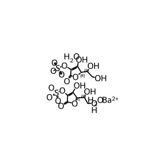 O.O.O=C1O[C@H]([C@@H](O)CO)C(O)=C1OS(=O)(=O)[O-].O=C1O[C@H]([C@@H](O)CO)C(O)=C1OS(=O)(=O)[O-].[Ba+2]